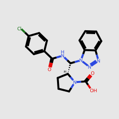 O=C(NC([C@H]1CCCN1C(=O)O)n1nnc2ccccc21)c1ccc(Cl)cc1